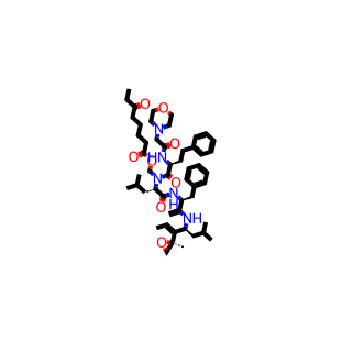 C=C(N[C@@H](CC(C)C)C(=CC)[C@@]1(C)CO1)[C@H](Cc1ccccc1)NC(=O)[C@H](CC(C)C)N(COC(=O)CCCCC(=O)CC)C(=O)[C@H](CCc1ccccc1)NC(=O)CN1CCOCC1